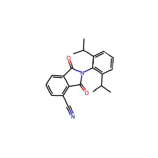 CC(C)c1cccc(C(C)C)c1N1C(=O)c2cccc(C#N)c2C1=O